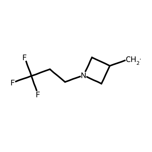 [CH2]C1CN(CCC(F)(F)F)C1